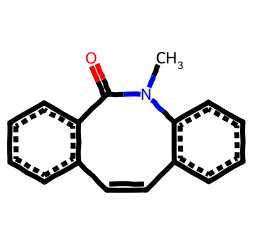 CN1C(=O)c2ccccc2/C=C\c2ccccc21